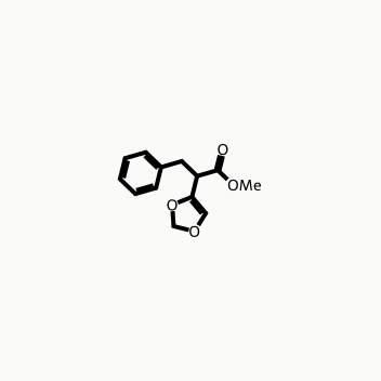 COC(=O)C(Cc1ccccc1)C1=COCO1